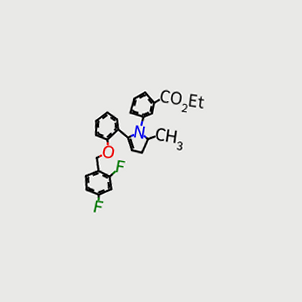 CCOC(=O)c1cccc(N2C(c3ccccc3OCc3ccc(F)cc3F)=CCC2C)c1